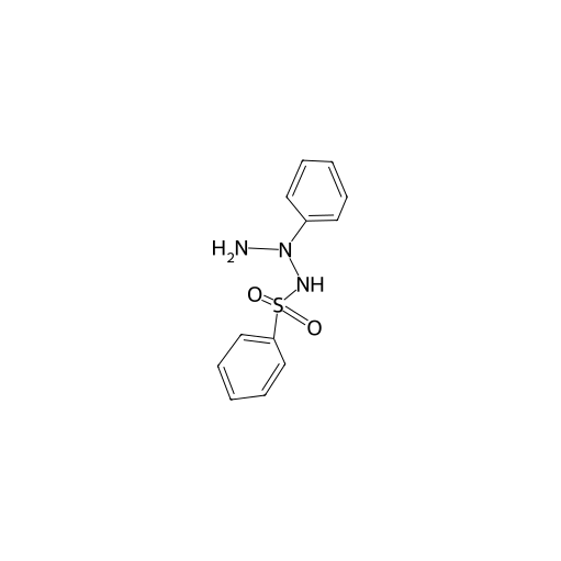 NN(NS(=O)(=O)c1ccccc1)c1ccccc1